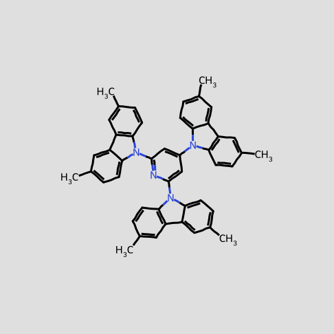 Cc1ccc2c(c1)c1cc(C)ccc1n2-c1cc(-n2c3ccc(C)cc3c3cc(C)ccc32)nc(-n2c3ccc(C)cc3c3cc(C)ccc32)c1